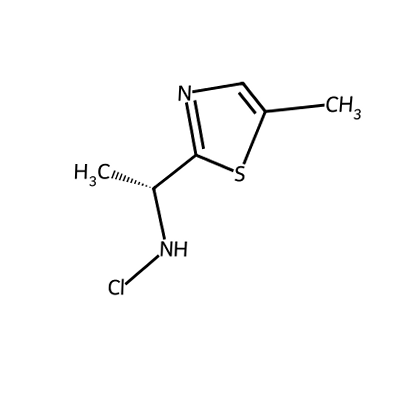 Cc1cnc([C@@H](C)NCl)s1